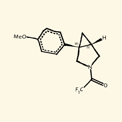 COc1ccc([C@@]23C[C@@H]2CN(C(=O)C(F)(F)F)C3)cc1